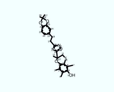 Cc1c(C)c2c(c(C)c1O)SCC(C)(c1nc(CCc3ccc4c(c3)OC(C)(C)O4)no1)O2